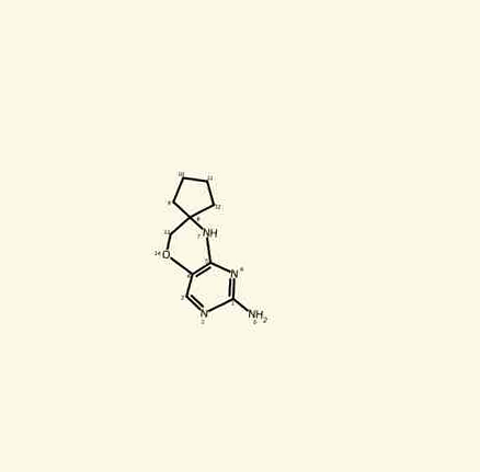 Nc1ncc2c(n1)NC1(CCCC1)CO2